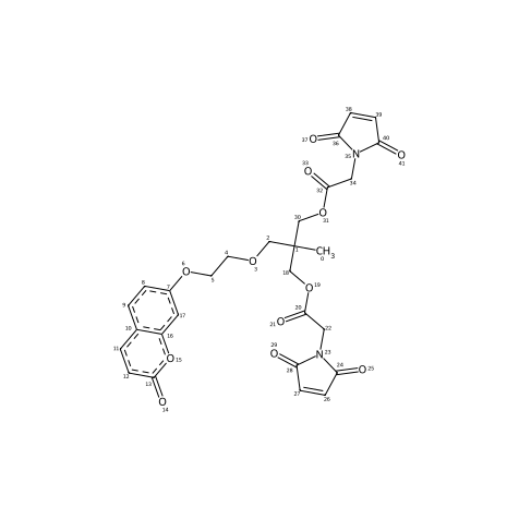 CC(COCCOc1ccc2ccc(=O)oc2c1)(COC(=O)CN1C(=O)C=CC1=O)COC(=O)CN1C(=O)C=CC1=O